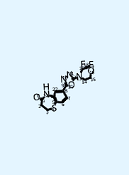 O=C1CCSc2ccc(-c3nnc(N4CCOC(F)(F)C4)o3)cc2N1